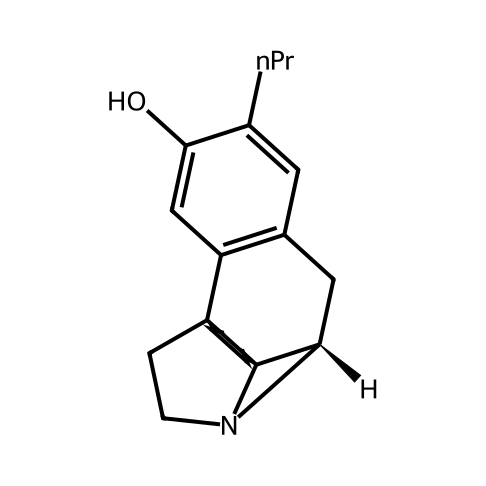 CCCc1cc2c(cc1O)[C@]13CCCC[C@]14[C@H](C2)N4CC3